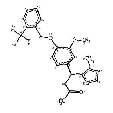 COc1cc(C(CC(C)=O)c2sccc2C)ccc1OCc1ccccc1C(F)(F)F